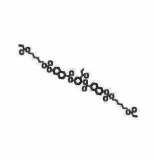 C=CC(=O)OCCCCCCOC(=O)Oc1ccc2cc(C(=O)Oc3ccc(OC(=O)c4ccc5cc(OC(=O)OCCCCCCOC(=O)C=C)ccc5c4)c(C(=O)CC)c3)ccc2c1